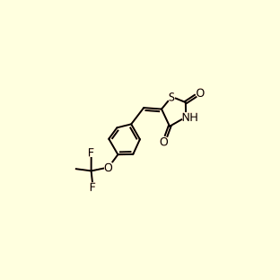 CC(F)(F)Oc1ccc(/C=C2/SC(=O)NC2=O)cc1